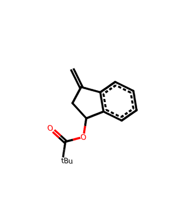 C=C1CC(OC(=O)C(C)(C)C)c2ccccc21